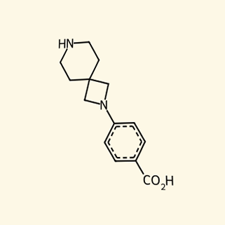 O=C(O)c1ccc(N2CC3(CCNCC3)C2)cc1